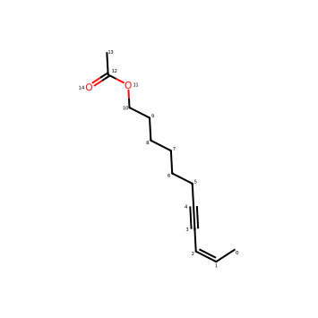 C/C=C\C#CCCCCCCOC(C)=O